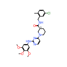 COc1cc(Nc2nccc(N3CCC[C@H](C(=O)NCc4cc(Cl)ccc4C)C3)n2)cc(OC)c1OC